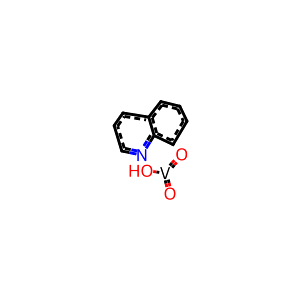 [O]=[V](=[O])[OH].c1ccc2ncccc2c1